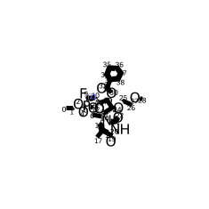 CCOP(=O)(OCC)/C(F)=C\[C@H]1O[C@@H](n2cc(C)c(=O)[nH]c2=O)[C@H](OCCOC)[C@@H]1OC(=O)c1ccccc1